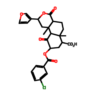 CC12CCC3C(=O)OC(c4ccoc4)CC3(C)C1C(=O)C(OC(=O)c1cccc(Cl)c1)CC2C(=O)O